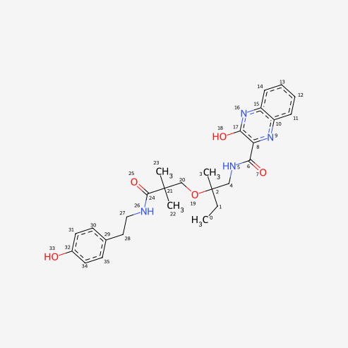 CCC(C)(CNC(=O)c1nc2ccccc2nc1O)OCC(C)(C)C(=O)NCCc1ccc(O)cc1